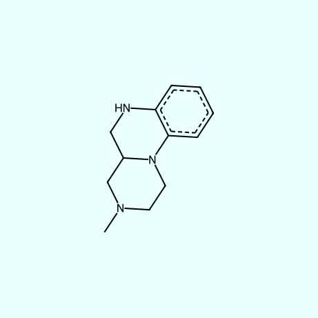 CN1CCN2c3ccccc3NCC2C1